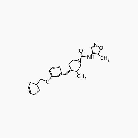 Cc1oncc1NC(=O)N1CCC(=Cc2cccc(OCC3CC=CCC3)c2)C(C)C1